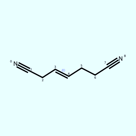 N#CC/C=C/CCC#N